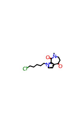 CN1CCC(=O)c2ccn(CCCCCCl)c2C1=O